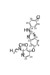 CN(C=O)c1cc(Oc2ccc3sc(Nc4ccc(Cl)cc4)nc3c2)ccn1